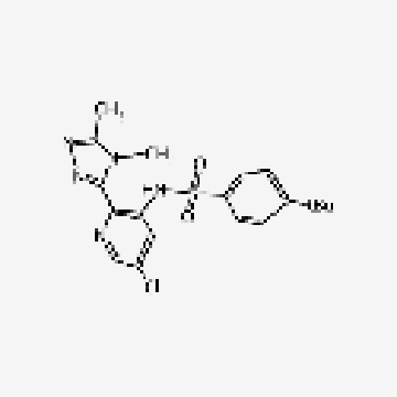 Cc1nnc(-c2ncc(Cl)cc2NS(=O)(=O)c2ccc(C(C)(C)C)cc2)n1C